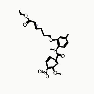 CCOC(=O)/C=C/CCCOc1cc(C)ccc1N(C)C(=O)c1ccc([N+](=O)[O-])c(OC)c1